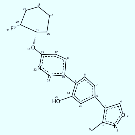 Cc1nocc1-c1ccc(-c2ccc(O[C@H]3CCCC[C@H]3F)nn2)c(O)c1